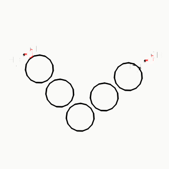 C1CCCCCCCCCCCCCC1.C1CCCCCCCCCCCCCC1.C1CCCCCCCCCCCCCC1.C1CCCCCCCCCCCCCC1.C1CCCCCCCCCCCCCC1.C=COC.C=COC